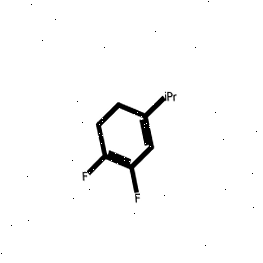 CC(C)C1=CC(F)=C(F)CC1